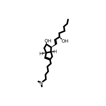 CCCCC[C@@H](O)/C=C/[C@H]1[C@@H]2CC(CCCCCN(C)C)=C[C@@H]2C[C@@H]1O